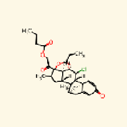 CCCC(=O)OCC(=O)[C@@]1(OC(=O)CC)C(C)C[C@H]2[C@@H]3CCC4=CC(=O)C=C[C@]4(C)[C@H]3C(Cl)C[C@@]21C